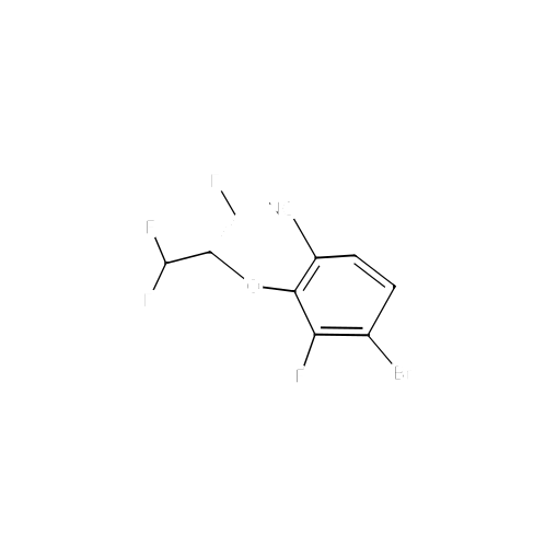 N#Cc1ccc(Br)c(F)c1O[C@@H](CF)C(F)F